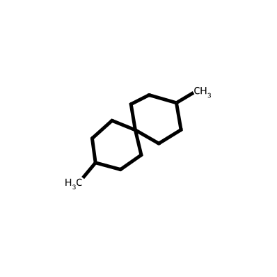 CC1CCC2(CC1)CCC(C)CC2